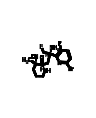 C[C@]1(C#N)CCCN[SH]1(=O)C[C@@](N)(CF)c1nc(Br)ccc1F